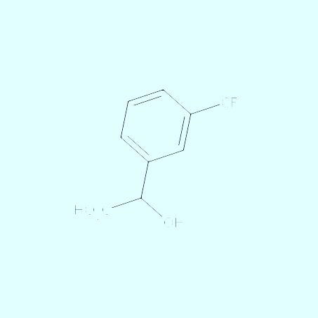 O=C(O)C(O)c1cccc(C(F)(F)F)c1